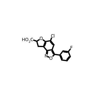 O=C(O)C1Cc2c(c(Cl)cc3c(-c4cccc(F)c4)onc23)O1